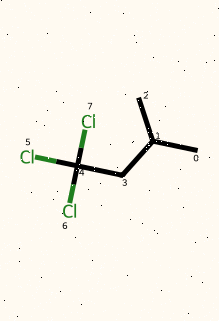 CC(C)CC(Cl)(Cl)Cl